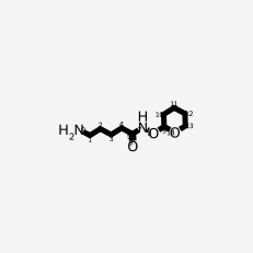 NCCCCC(=O)NOC1CCCCO1